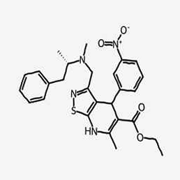 CCOC(=O)C1=C(C)Nc2snc(CN(C)[C@@H](C)Cc3ccccc3)c2C1c1cccc([N+](=O)[O-])c1